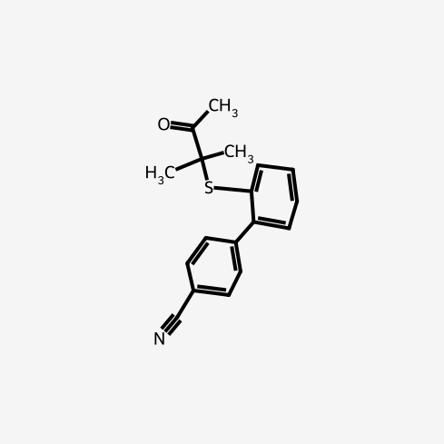 CC(=O)C(C)(C)Sc1ccccc1-c1ccc(C#N)cc1